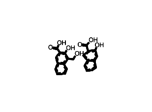 O=C(O)c1cc2ccccc2c(CO)c1O.O=C(O)c1cc2ccccc2cc1O